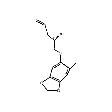 C=CC[C@@H](O)COc1cc2c(cc1C)OCO2